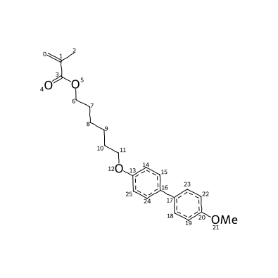 C=C(C)C(=O)OCCCCCCOc1ccc(-c2ccc(OC)cc2)cc1